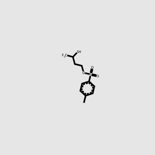 Cc1ccc(S(=O)(=O)OCCC(S)C(F)(F)F)cc1